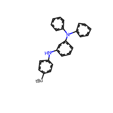 CC(C)(C)c1ccc(Nc2cccc(N(c3ccccc3)c3ccccc3)c2)cc1